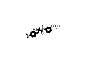 CN(C)c1ccc(CC(C)(S)C(=O)Nc2cccc(C(=O)O)c2)cc1